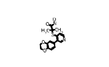 CC(C)(Sc1ccncc1-c1ccc2c(c1)OCCO2)C(=O)N=O